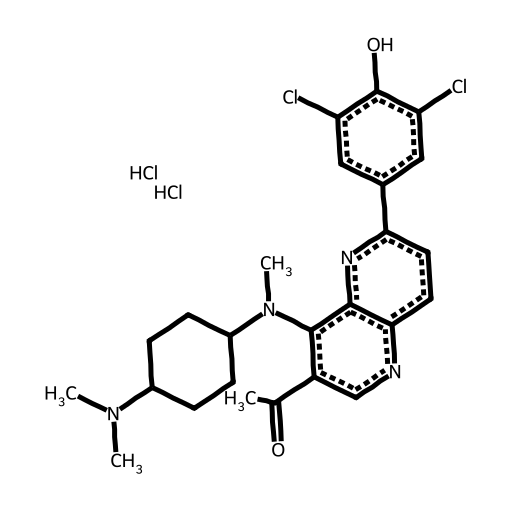 CC(=O)c1cnc2ccc(-c3cc(Cl)c(O)c(Cl)c3)nc2c1N(C)C1CCC(N(C)C)CC1.Cl.Cl